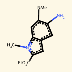 CCOC(=O)c1cc2cc(N)c(NC)cc2n1C